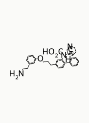 NCCc1cccc(OCCCc2ccc(-c3ccccc3)c(N(C(=O)O)[C@H]3CN4CCC3CC4)c2)c1